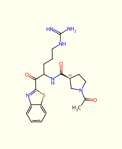 CC(=O)N1CC[C@H](C(=O)NC(CCCNC(=N)N)C(=O)c2nc3ccccc3s2)C1